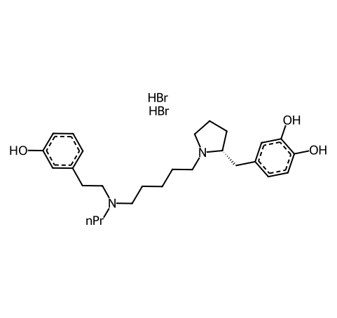 Br.Br.CCCN(CCCCCN1CCC[C@@H]1Cc1ccc(O)c(O)c1)CCc1cccc(O)c1